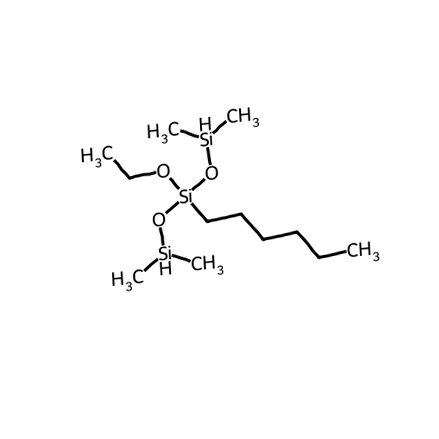 CCCCCC[Si](OCC)(O[SiH](C)C)O[SiH](C)C